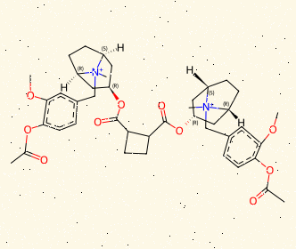 COc1cc(C[N+]2(C)[C@@H]3CC[C@H]2C[C@@H](OC(=O)C2CCC2C(=O)O[C@H]2C[C@H]4CC[C@@H](C2)[N+]4(C)Cc2ccc(OC(C)=O)c(OC)c2)C3)ccc1OC(C)=O